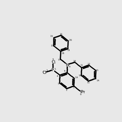 CC(C)c1ccc(P(Cl)Cl)c(N(Cc2ccccc2)Cc2ccccc2)c1